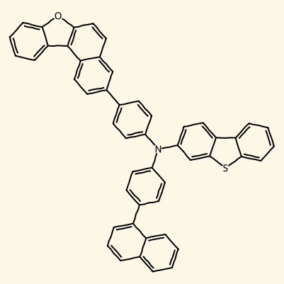 c1ccc2c(-c3ccc(N(c4ccc(-c5ccc6c(ccc7oc8ccccc8c76)c5)cc4)c4ccc5c(c4)sc4ccccc45)cc3)cccc2c1